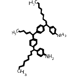 CCCCCCCCC(c1ccc(N)cc1)c1ccc(C(CCCCC)c2ccc(C(CCCCCCCC)c3ccc(N)cc3)cc2)cc1